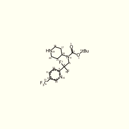 CC(C)(C)OC(=O)N(CC(F)(F)c1ccc(C(F)(F)F)cn1)C1CCNCC1